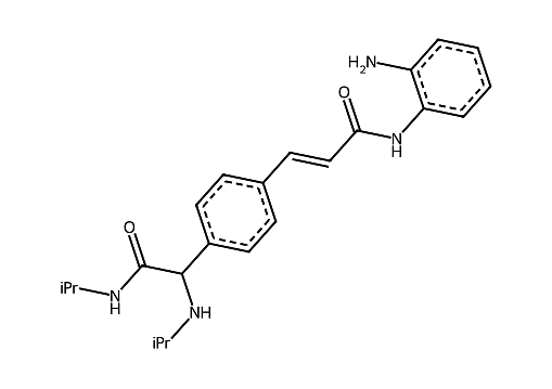 CC(C)NC(=O)C(NC(C)C)c1ccc(C=CC(=O)Nc2ccccc2N)cc1